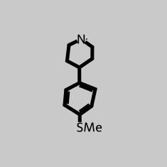 CSc1ccc(C2CC[N]CC2)cc1